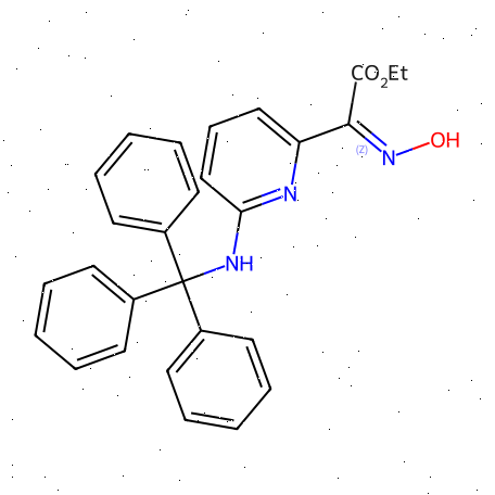 CCOC(=O)/C(=N\O)c1cccc(NC(c2ccccc2)(c2ccccc2)c2ccccc2)n1